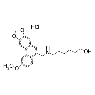 COc1ccc2c(CNCCCCCCO)cc3cc4c(cc3c2c1)OCO4.Cl